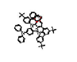 CC(C)(C)c1ccc(N2c3cc(N(c4ccccc4)c4ccccc4)ccc3B3c4c(cc5oc6ccccc6c5c42)-c2cc(C(C)(C)C)cc4c5cc(C(C)(C)C)ccc5n3c24)c(-c2ccccc2)c1